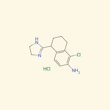 Cl.Nc1ccc2c(c1Cl)CCCC2C1=NCCN1